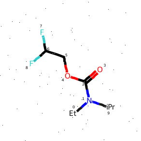 CCN(C(=O)OCC(F)F)C(C)C